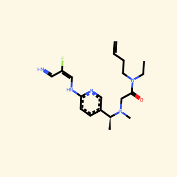 C=CCCN(CC)C(=O)CN(C)[C@@H](C)c1ccc(N/C=C(/F)C=N)nc1